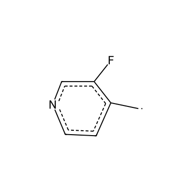 [CH2]c1ccncc1F